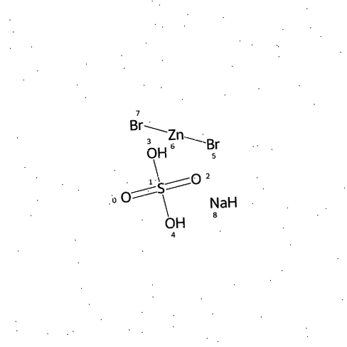 O=S(=O)(O)O.[Br][Zn][Br].[NaH]